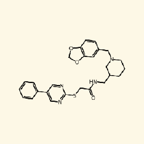 O=C(CSc1ncc(-c2ccccc2)cn1)NCC1CCCN(Cc2ccc3c(c2)OCO3)C1